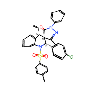 C=C[C@H]1c2ccccc2N(S(=O)(=O)c2ccc(C)cc2)[C@@H](c2ccc(Cl)cc2)[C@]12C(=O)N(c1ccccc1)N=C2C